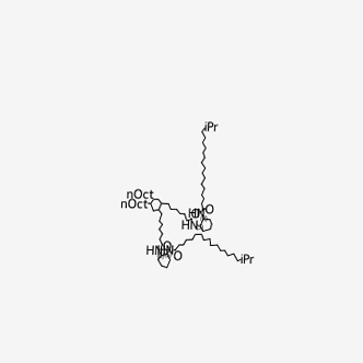 CCCCCCCCC1CC(CCCCCCC(=O)N[C@H]2CCCC[C@H]2NC(=O)CCCCCCCCCCCCCCCC(C)C)C(CCCCCCC(=O)N[C@@H]2CCCC[C@@H]2NC(=O)CCCCCCCCCCCCCCCC(C)C)CC1CCCCCCCC